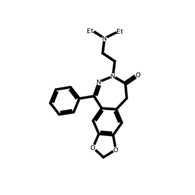 CCN(CC)CCN1N=C(c2ccccc2)c2cc3c(cc2CC1=O)OCO3